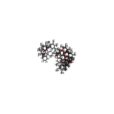 Fc1c(F)c(F)c(C2=C(c3c(F)c(F)c(F)c(F)c3F)C(c3ccccc3)(c3c(F)c(F)c(F)c(F)c3F)C=CC2OB(OC2C=CC(c3ccccc3)(c3c(F)c(F)c(F)c(F)c3F)C(c3c(F)c(F)c(F)c(F)c3F)=C2c2c(F)c(F)c(F)c(F)c2F)OC2C=CC(c3ccccc3)(c3c(F)c(F)c(F)c(F)c3F)C(c3c(F)c(F)c(F)c(F)c3F)=C2c2c(F)c(F)c(F)c(F)c2F)c(F)c1F